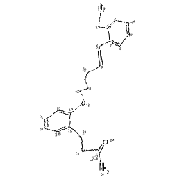 CC(C)Cc1cc[c]cc1C=CCCCOc1ccccc1CCC(N)=O